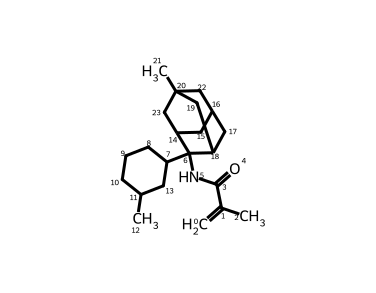 C=C(C)C(=O)NC1(C2CCCC(C)C2)C2CC3CC1CC(C)(C3)C2